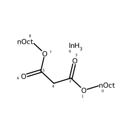 CCCCCCCCOC(=O)CC(=O)OCCCCCCCC.[InH3]